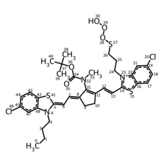 CCCCN1/C(=C/C=C2\CCC(/C=C/c3sc4ccc(Cl)cc4[n+]3CCCSOOO)=C2N(C)C(=O)OC(C)(C)C)Sc2ccc(Cl)cc21